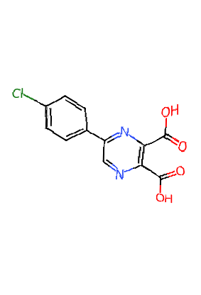 O=C(O)c1ncc(-c2ccc(Cl)cc2)nc1C(=O)O